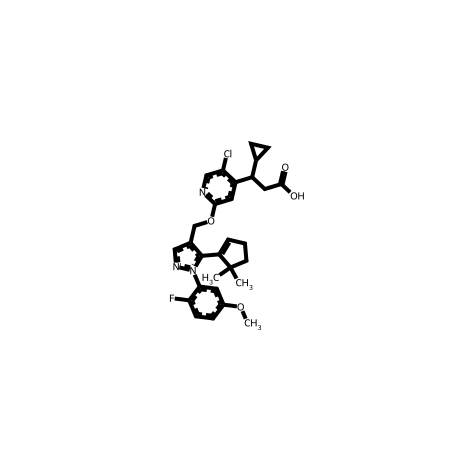 COc1ccc(F)c(-n2ncc(COc3cc(C(CC(=O)O)C4CC4)c(Cl)cn3)c2C2=CCCC2(C)C)c1